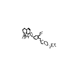 CCCN1CCCc2ccc(OCc3ccc(CCC(=O)OCC)c(F)c3)cc21